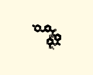 CC(Oc1cc(Cl)cnc1N)c1cccc(NC(=O)c2cccc(CN3CCN(C)CC3)c2)c1